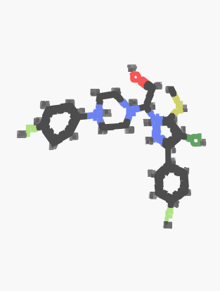 CSc1c(Cl)c(-c2ccc(F)cc2)nn1C(C=O)N1CCN(c2ccc(F)cc2)CC1